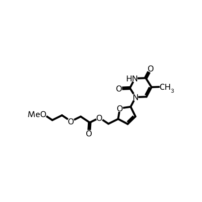 COCCOCC(=O)OCC1C=CC(n2cc(C)c(=O)[nH]c2=O)O1